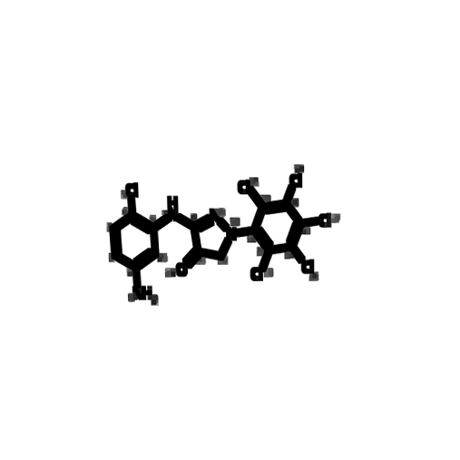 Nc1ccc(Cl)c(NC2=NN(c3c(Cl)c(Cl)c(Cl)c(Cl)c3Cl)CC2=O)c1